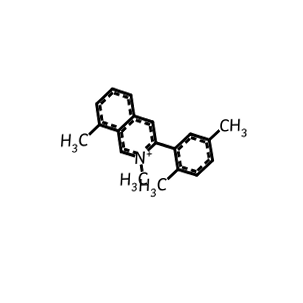 Cc1ccc(C)c(-c2cc3cccc(C)c3c[n+]2C)c1